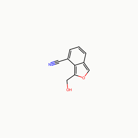 N#Cc1cccc2coc(CO)c12